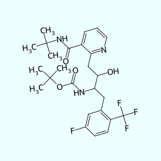 CC(C)(C)NC(=O)c1cccnc1CC(O)C(Cc1cc(F)ccc1C(F)(F)F)NC(=O)OC(C)(C)C